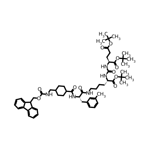 Cc1cccc(C[C@H](NC(=O)C2CCC(CNC(=O)OCC3c4ccccc4-c4ccccc43)CC2)C(=O)NCCCC[C@H](NC(=O)N[C@@H](CCC(=O)OC(C)(C)C)C(=O)OC(C)(C)C)C(=O)OC(C)(C)C)c1